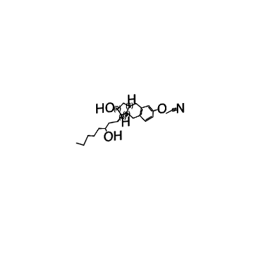 CCCCCC(O)CC[C@@H]1[C@H]2Cc3ccc(OCC#N)cc3C[C@H]2C[C@H]1O